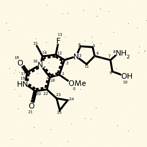 COc1c(N2CCC(C(N)CO)C2)c(F)c(C)n2c(=O)[nH]c(=O)c(C3CC3)c12